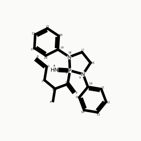 C=CCC(C)C(=C)P1(=N)N(c2ccccc2)CCN1c1ccccc1